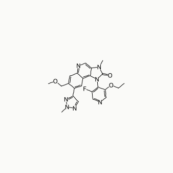 CCOc1cncc(F)c1-n1c(=O)n(C)c2cnc3cc(COC)c(-c4cnn(C)n4)cc3c21